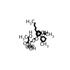 C=C(C)[C@@H]1CCC(C)=C[C@H]1c1c(O)cc(CCCCC)cc1OCOC1[C@@H]([C@@H](C)O)C(=O)N1S(=O)(=O)O